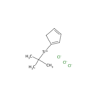 C[C](C)(C)[Ti+3][C]1=CC=CC1.[Cl-].[Cl-].[Cl-]